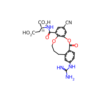 N#Cc1cc2c(c(C(=O)N[C@@H](CC(=O)O)C(=O)O)c1)OCCCc1cc(NC(=N)N)ccc1C(=O)O2